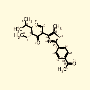 CC[C@H](CC(C)C)C(=O)C(C=O)c1nc(-c2ccc(C(C)=O)cc2)sc1C